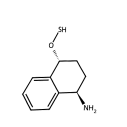 N[C@@H]1CC[C@@H](OS)c2ccccc21